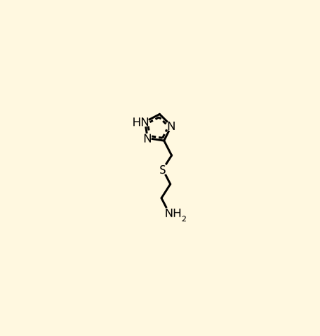 NCCSCc1nc[nH]n1